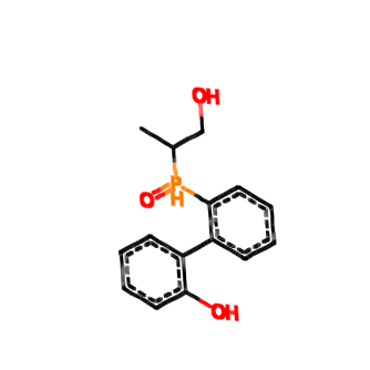 CC(CO)[PH](=O)c1ccccc1-c1ccccc1O